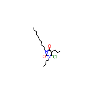 CCCCCCCCCCn1c(=O)c(CCC)c(Cl)n(CCCC)c1=O